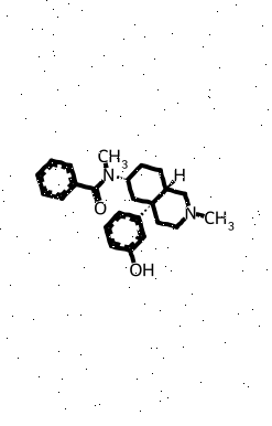 CN1CC[C@@]2(c3cccc(O)c3)C[C@H](N(C)C(=O)c3ccccc3)CC[C@@H]2C1